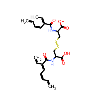 C=C/C=C\C=C(/C=C)C(=O)NC(CSSCC(NC(=O)C(/C=C\C=C)=C/C)C(=O)O)C(=O)O